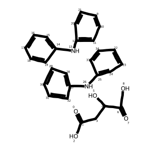 O=C(O)CC(O)C(=O)O.c1ccc(Nc2ccccc2)cc1.c1ccc(Nc2ccccc2)cc1